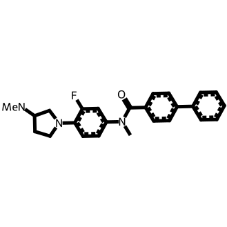 CNC1CCN(c2ccc(N(C)C(=O)c3ccc(-c4ccccc4)cc3)cc2F)C1